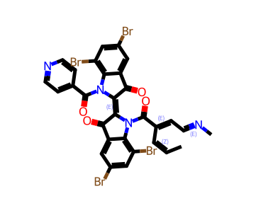 C\C=C/C(=C\C=N\C)C(=O)N1/C(=C2\C(=O)c3cc(Br)cc(Br)c3N2C(=O)c2ccncc2)C(=O)c2cc(Br)cc(Br)c21